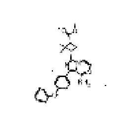 COC(=O)[C@@H]1C[C@@H](c2nc(-c3ccc(Oc4ccccc4)cc3)c3c(N)nccn23)C1(C)C